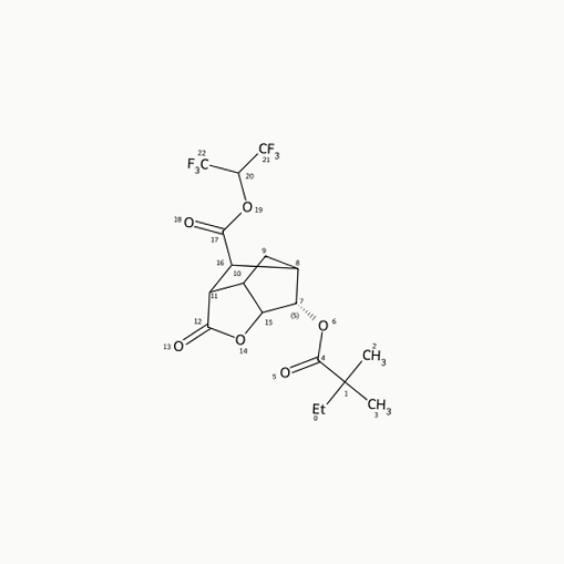 CCC(C)(C)C(=O)O[C@H]1C2CC3C(C(=O)OC31)C2C(=O)OC(C(F)(F)F)C(F)(F)F